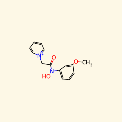 COc1cccc(N(O)C(=O)C[n+]2ccccc2)c1